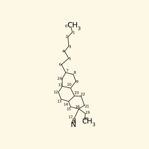 CCCCCCCC1CCC2C(CCC3CC(C#N)(CC)CCC32)C1